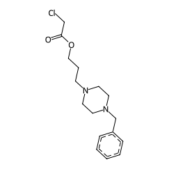 O=C(CCl)OCCCN1CCN(Cc2ccccc2)CC1